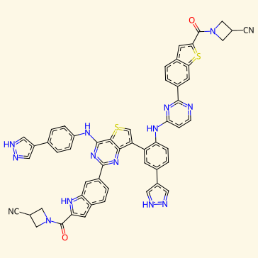 N#CC1CN(C(=O)c2cc3ccc(-c4nc(Nc5ccc(-c6cn[nH]c6)cc5)c5scc(-c6cc(-c7cn[nH]c7)ccc6Nc6ccnc(-c7ccc8cc(C(=O)N9CC(C#N)C9)sc8c7)n6)c5n4)cc3[nH]2)C1